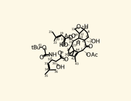 CC(=O)O[C@H]1C(=O)[C@]2(C)[C@@H](O)C[C@H]3OC[C@]3(OC(C)=O)[C@@H]2[C@@H](OC(=O)C=C(C)C)[C@]2(O)C[C@@H](OC(=O)[C@H](O)[C@H](C=C(C)C)NC(=O)OC(C)(C)C)C(C)=C1C2(C)C